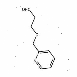 O=CCCOCc1ccccn1